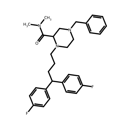 CN(C)C(=O)C1CN(Cc2ccccc2)CCN1CCCC(c1ccc(F)cc1)c1ccc(F)cc1